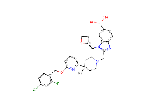 N#CC1(c2cccc(OCc3ccc(Cl)cc3F)n2)CCN(Cc2nc3ccc(C(O)O)cc3n2C[C@@H]2CCO2)CC1